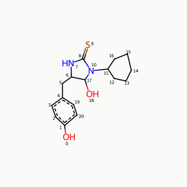 Oc1ccc(CC2NC(=S)N(C3CCCCC3)C2O)cc1